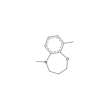 Cc1cccc2c1OCCCN2C